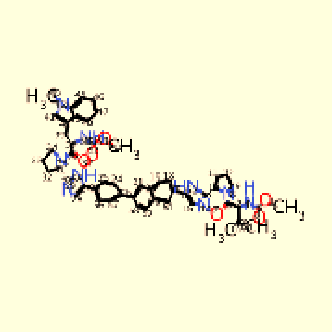 COC(=O)NC(C(=O)N1CCC[C@H]1c1ncc(-c2ccc3cc(-c4ccc(-c5cnc([C@@H]6CCCN6C(=O)[C@@H](Cc6cn(C)c7ccccc67)NC(=O)OC)[nH]5)cc4)ccc3c2)[nH]1)C(C)C